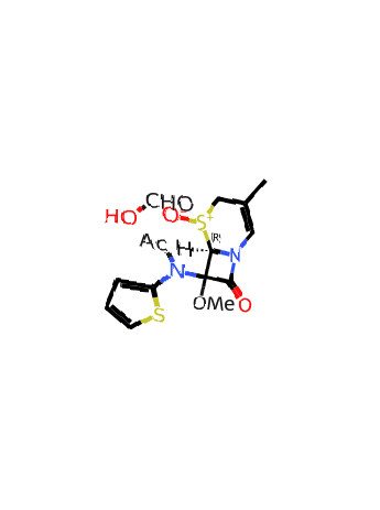 COC1(N(C(C)=O)c2cccs2)C(=O)N2C=C(C)C[S+]([O-])[C@@H]21.O=CO